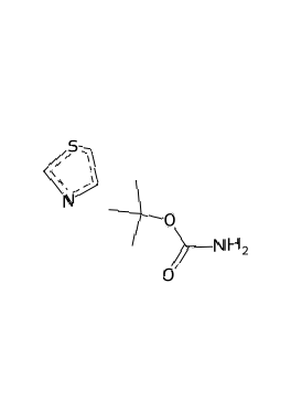 CC(C)(C)OC(N)=O.c1cscn1